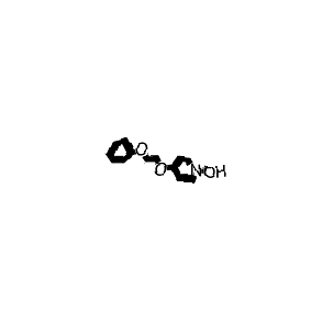 O[n+]1ccc(OCCOc2ccccc2)cc1